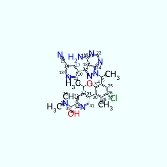 CCOc1c(C(C)n2nc(-c3cncc(C#N)c3)c3c(N)ncnc32)cc(Cl)c(C)c1-c1ccc(C(O)N(C)C)nc1